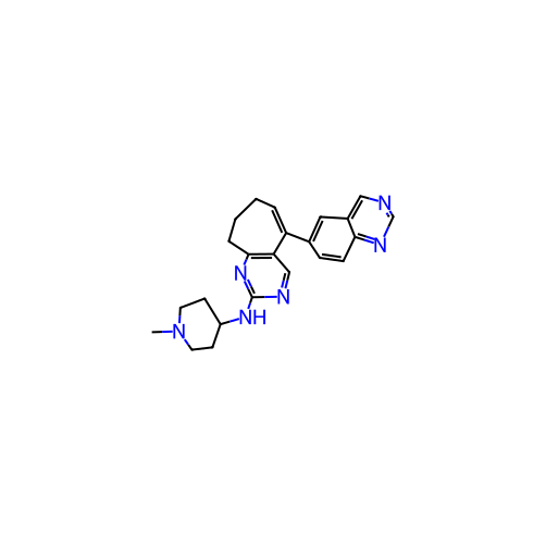 CN1CCC(Nc2ncc3c(n2)CCCC=C3c2ccc3ncncc3c2)CC1